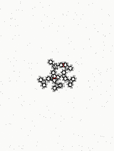 N#Cc1ccc(-n2c3ccc(-n4c5ccccc5c5ccccc54)cc3c3cc(-n4c5ccccc5c5ccccc54)ccc32)cc1-c1cc(-c2nc(-c3ccccc3)nc(-c3ccccc3)n2)ccc1-n1c2ccc(-n3c4ccccc4c4ccccc43)cc2c2cc(-n3c4ccccc4c4ccccc43)ccc21